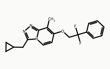 Cc1c(OCC(F)(F)c2ccccc2)ccn2c(CC3CC3)nnc12